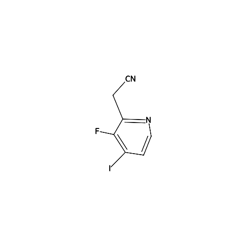 N#CCc1nccc(I)c1F